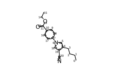 CCCCc1cn(-c2ccc(C(=O)OCC)cc2)cc1C#N